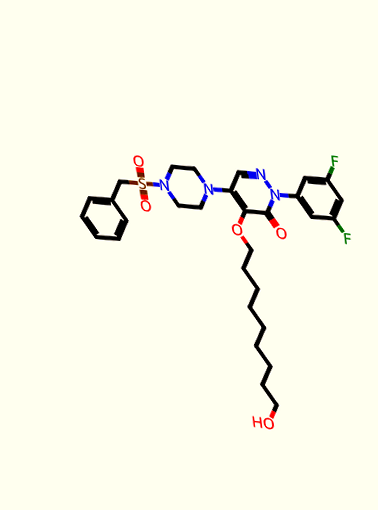 O=c1c(OCCCCCCCCCO)c(N2CCN(S(=O)(=O)Cc3ccccc3)CC2)cnn1-c1cc(F)cc(F)c1